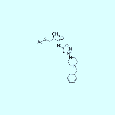 CC(=O)SC[C@@H](C)C(=O)[N-]c1c[n+](N2CCN(Cc3ccccc3)CC2)no1